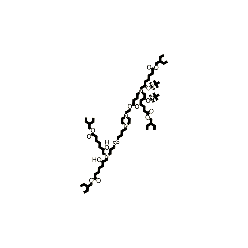 CCC(CC)COC(=O)CCCCC(O)CN(CCCSSCCCCN1CCN(CCOC(=O)CCCN(CC(CCCCC(=O)OCC(CC)CC)O[Si](C)(C)C(C)(C)C)CC(CCCCC(=O)OCC(CC)CC)O[Si](C)(C)C(C)(C)C)CC1)CC(O)CCCCC(=O)OCC(CC)CC